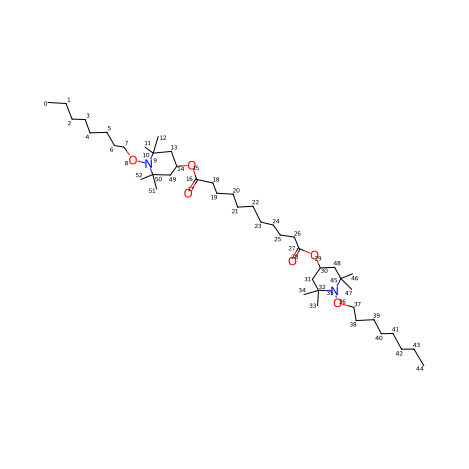 CCCCCCCCON1C(C)(C)CC(OC(=O)CCCCCCCCCC(=O)OC2CC(C)(C)N(OCCCCCCCC)C(C)(C)C2)CC1(C)C